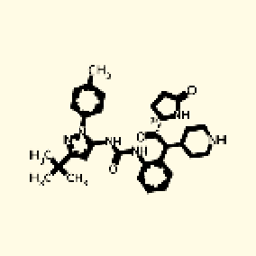 Cc1ccc(-n2nc(C(C)(C)C)cc2NC(=O)Nc2ccccc2C(C(=O)[C@@H]2CCC(=O)N2)C2CCNCC2)cc1